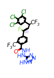 O=C(NNc1nnn[nH]1)c1ccc(/C(F)=C/C(c2cc(Cl)c(Cl)c(Cl)c2)C(F)(F)F)cc1C(F)(F)F